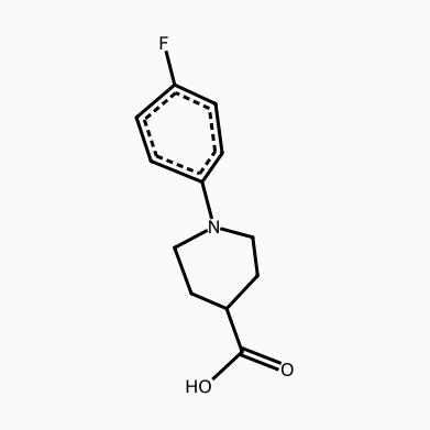 O=C(O)C1CCN(c2ccc(F)cc2)CC1